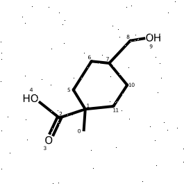 CC1(C(=O)O)CCC(CO)CC1